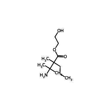 CCCC(C)(C(=O)OCCO)C(C)(C)N